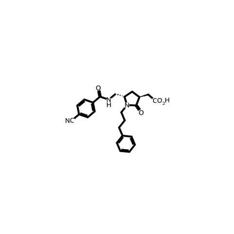 N#Cc1ccc(C(=O)NC[C@@H]2C[C@@H](CC(=O)O)C(=O)N2CCCc2ccccc2)cc1